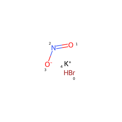 Br.O=N[O-].[K+]